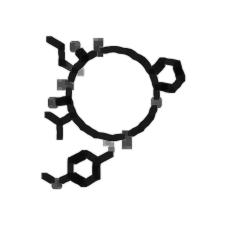 CCC[C@@H]1NC(=O)C(C(C)C)CC[C@@H](Cc2ccc(OC)cc2)NCCOc2ccccc2CCCNC1=O